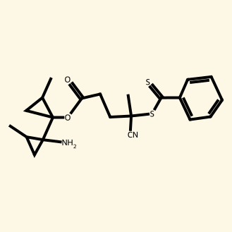 CC1CC1(N)C1(OC(=O)CCC(C)(C#N)SC(=S)c2ccccc2)CC1C